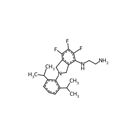 CC(C)c1cccc(C(C)C)c1N1Cc2c(F)c(F)c(F)c(NCCN)c2C1